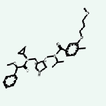 COCCCOc1cc(C(=O)N(C[C@@H]2CNC[C@H]2CN(C(=O)C(OC)c2ccccc2)C2CC2)C(C)C)ccc1C